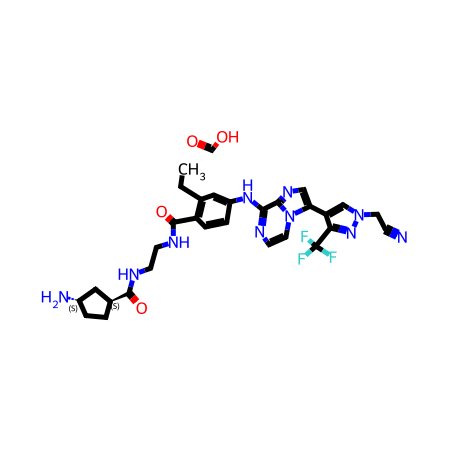 CCc1cc(Nc2nccn3c(-c4cn(CC#N)nc4C(F)(F)F)cnc23)ccc1C(=O)NCCNC(=O)[C@H]1CC[C@H](N)C1.O=CO